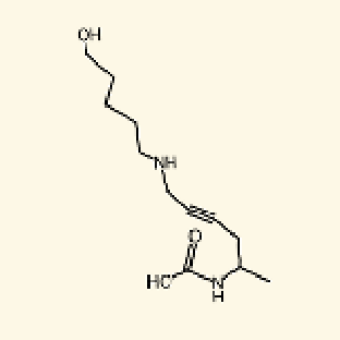 CC(CC#CCNCCCCCO)NC(=O)O